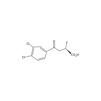 O=C(C[C@@H](F)C(=O)O)c1ccc(Cl)c(Cl)c1